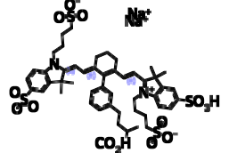 CC(CCc1cccc(C2=C(/C=C/C3=[N+](CCCCS(=O)(=O)[O-])c4ccc(S(=O)(=O)O)cc4C3(C)C)CCC/C2=C\C=C2\N(CCCCS(=O)(=O)[O-])c3ccc(S(=O)(=O)[O-])cc3C2(C)C)c1)C(=O)O.[Na+].[Na+]